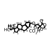 C#C[C@]1(O)CCC2C3CCc4cc(OC(=O)CC5(CC(=O)O)OCOC5=O)ccc4C3CC[C@@]21C